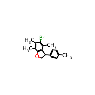 Cc1ccc(C2COc3c(C)c(C)c(Br)c(C)c32)cc1